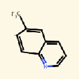 FC(F)(F)c1[c]cc2ncccc2c1